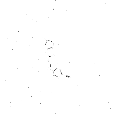 N#Cc1ccc2nc(NC(=O)Nc3cccc(Br)c3)sc2c1